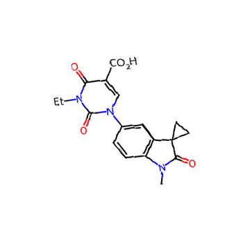 CCn1c(=O)c(C(=O)O)cn(-c2ccc3c(c2)C2(CC2)C(=O)N3C)c1=O